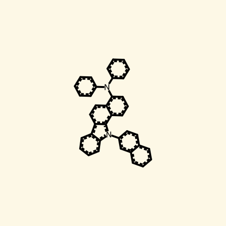 c1ccc(N(c2ccccc2)c2cccc3c2ccc2c4ccccc4n(-c4ccc5ccccc5c4)c32)cc1